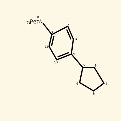 CCCCCc1ccc(C2CCCC2)cc1